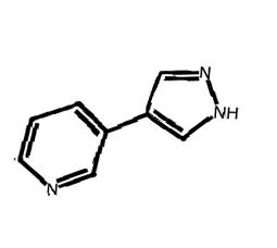 [c]1ccc(-c2cn[nH]c2)cn1